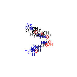 CCCCc1nc2c(N)nc3ccccc3c2n1CC(C)(C)COCC(C)(N)CCOC(C)(C)CNC(=O)CCC(NC(=O)c1ccc(NCc2cnc3nc(N)[nH]c(=O)c3n2)cc1)C(=O)O